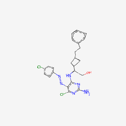 Nc1nc(Cl)c(N=Nc2ccc(Cl)cc2)c(NC(CO)C2CC(CCc3ccccc3)C2)n1